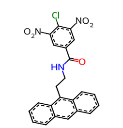 O=C(NCCc1c2ccccc2cc2ccccc12)c1cc([N+](=O)[O-])c(Cl)c([N+](=O)[O-])c1